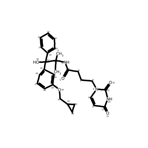 CC(C)(NC(=O)CCCn1ccc(=O)[nH]c1=O)C(O)(c1ccccc1)c1cccc(OCC2CC2)c1